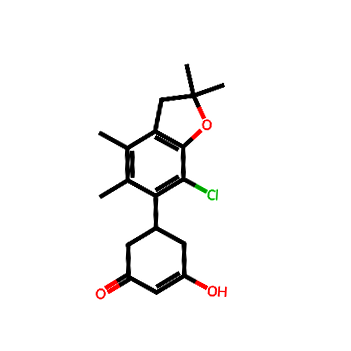 Cc1c(C)c(C2CC(=O)C=C(O)C2)c(Cl)c2c1CC(C)(C)O2